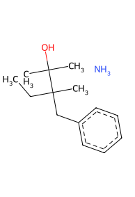 CCC(C)(Cc1ccccc1)C(C)(C)O.N